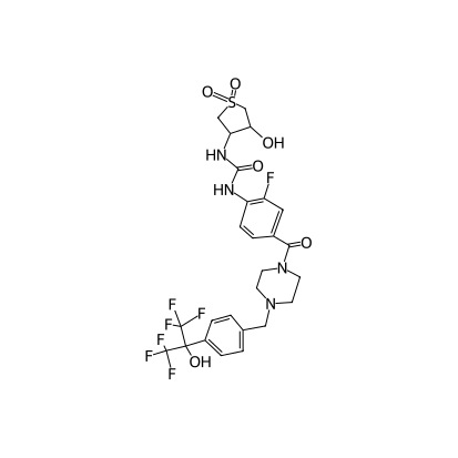 O=C(Nc1ccc(C(=O)N2CCN(Cc3ccc(C(O)(C(F)(F)F)C(F)(F)F)cc3)CC2)cc1F)NC1CS(=O)(=O)CC1O